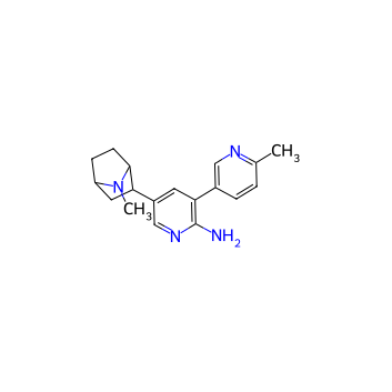 Cc1ccc(-c2cc(C3CC4CCC3N4C)cnc2N)cn1